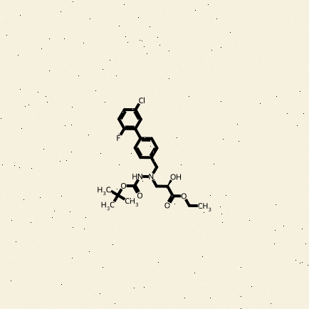 CCOC(=O)[C@H](O)CN(Cc1ccc(-c2cc(Cl)ccc2F)cc1)NC(=O)OC(C)(C)C